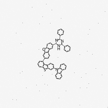 c1ccc(C2=NC(c3ccc4oc5cc(-c6cccc7sc8cc(-n9c%10ccccc%10c%10ccccc%109)ccc8c67)ccc5c4c3)NC(c3ccccc3)=N2)cc1